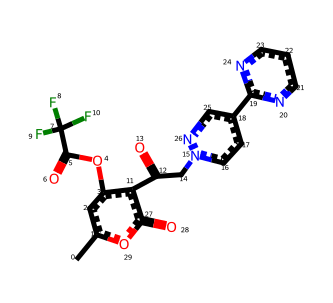 Cc1cc(OC(=O)C(F)(F)F)c(C(=O)C[n+]2ccc(-c3ncccn3)cn2)c(=O)o1